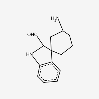 NC1CCCC2(C1)c1ccccc1NC2C=O